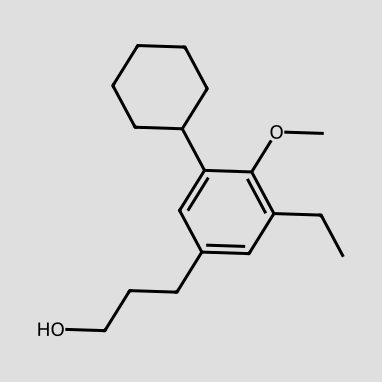 CCc1cc(CCCO)cc(C2CCCCC2)c1OC